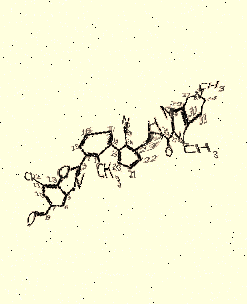 Cc1c(-c2nc3cc(C=O)cc(Cl)c3o2)cccc1-c1cccc(NC(=O)c2nc3c(n2C)CCN(C)C3)c1C#N